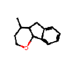 CC1CCOC2c3ccccc3CC12